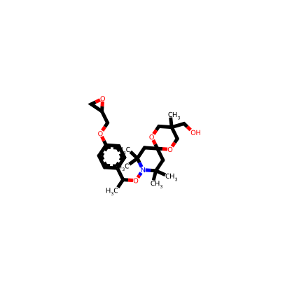 CC(ON1C(C)(C)CC2(CC1(C)C)OCC(C)(CO)CO2)c1ccc(OCC2CO2)cc1